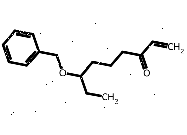 C=CC(=O)CCCC(CC)OCc1ccccc1